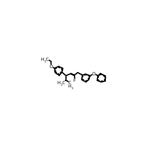 CCOc1ccc(C(/C=C(\F)Cc2cccc(Oc3ccccc3)c2)C(C)C)cc1